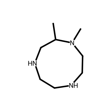 CC1CNCCNCCN1C